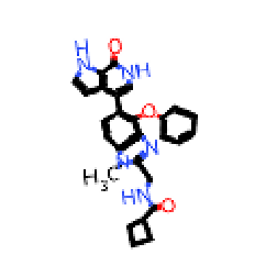 Cn1c(CNC(=O)C2CCC2)nc2c(Oc3ccccc3)c(-c3c[nH]c(=O)c4[nH]ccc34)ccc21